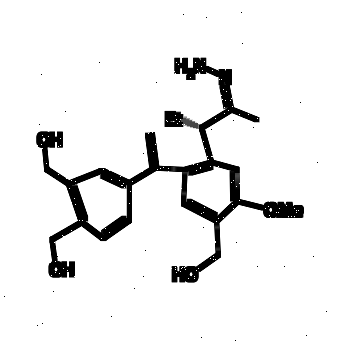 C=C(c1ccc(CO)c(CO)c1)c1cc(CO)c(OC)cc1[C@H](CC)/C(C)=N\N